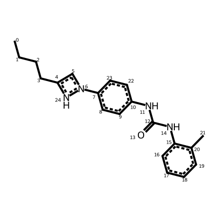 CCCCc1cn(-c2ccc(NC(=O)Nc3ccccc3C)cc2)[nH]1